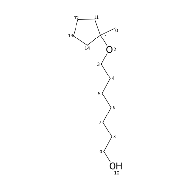 CC1(OCCCCCCCO)CCCC1